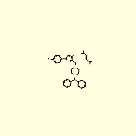 COc1ccc(-c2cc(C)c(CN3CCN(C(c4ccccc4)c4ccccc4)CC3)o2)cc1.O=C(O)/C=C/C(=O)O